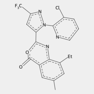 CCc1cc(C)cc2c(=O)oc(-c3cc(C(F)(F)F)nn3-c3ncccc3Cl)nc12